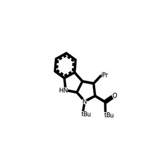 CC(C)C1C2c3ccccc3NC2N(C(C)(C)C)C1C(=O)C(C)(C)C